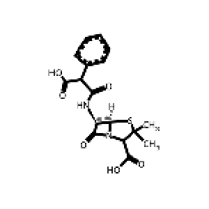 CC1(C)S[C@@H]2[C@H](NC(=O)C(C(=O)O)c3ccccc3)C(=O)N2C1C(=O)O